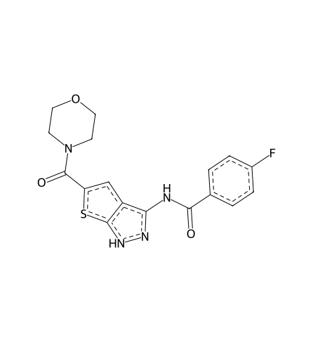 O=C(Nc1n[nH]c2sc(C(=O)N3CCOCC3)cc12)c1ccc(F)cc1